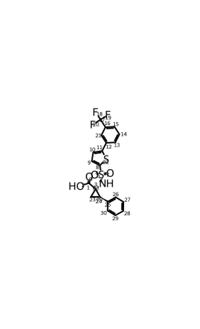 O=C(O)[C@]1(NS(=O)(=O)c2ccc(-c3cccc(C(F)(F)F)c3)s2)C[C@@H]1c1ccccc1